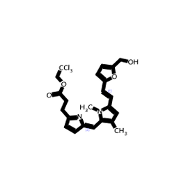 Cc1cc(/C=C/c2ccc(CO)o2)n(C)c1/C=C1/C=CC(CCC(=O)OCC(Cl)(Cl)Cl)=N1